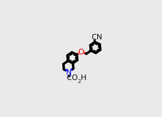 N#Cc1cccc(COc2ccc3c(c2)CN(C(=O)O)CC3)c1